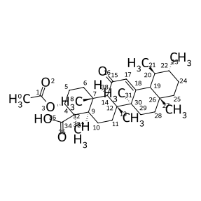 CC(=O)O[C@@H]1CC[C@@]2(C)[C@@H](CC[C@]3(C)[C@@H]2C(=O)C=C2C4[C@@H](C)[C@H](C)CC[C@]4(C)CC[C@]23C)[C@@]1(C)C(=O)O